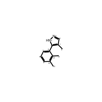 Cc1[c]n[nH]c1-c1cccc(C)c1C